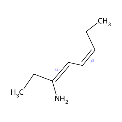 CC/C=C\C=C(/N)CC